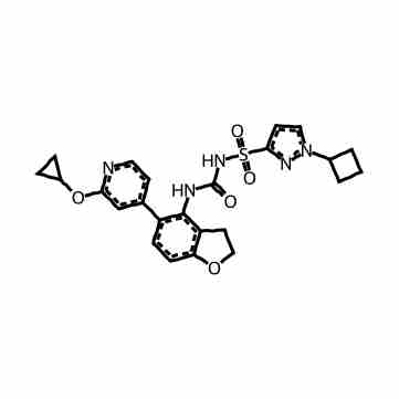 O=C(Nc1c(-c2ccnc(OC3CC3)c2)ccc2c1CCO2)NS(=O)(=O)c1ccn(C2CCC2)n1